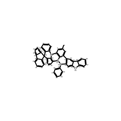 Cc1cc2c3c(c1)N1c4ccccc4C4(c5ccccc5-c5ccccc54)c4cccc(c41)B3N(c1ccccc1)c1cc3oc4ccccc4c3cc1-2